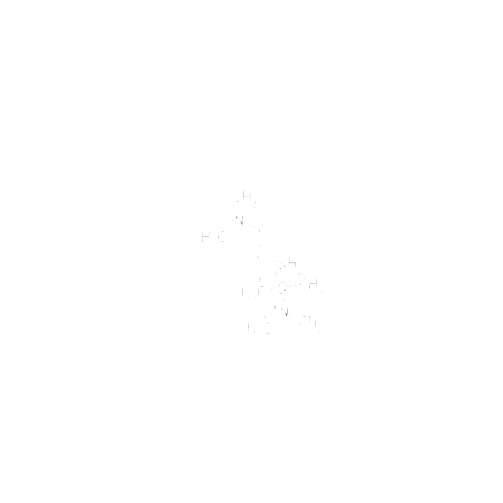 CN(C)CC[SiH2][Si](C)(C)N(C)C